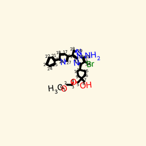 COCCOCC1(CO)CCC(c2nc3c(-c4ccc(-c5ccccc5)nc4)cnn3c(N)c2Br)CC1